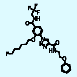 O=C(NCC(F)(F)F)c1ccc(-n2cc(C(=O)NCCOc3ccccc3)nn2)c(OCCCCCCF)c1